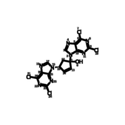 O[C@@]1(n2cnc3c(Cl)nc(Cl)nc32)C=C[C@H](n2cnc3c(Cl)nc(Cl)nc32)C1